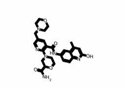 Cc1cc(O)nc2ccc(NC(=O)c3cc(CN4CCOCC4)cnc3N3CCOC(C(N)=O)C3)cc12